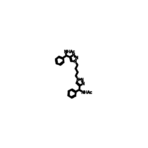 CC(=O)NC(c1ccccc1)c1cn(CCCCn2cc(C(NC(C)=O)c3ccccc3)nn2)nn1